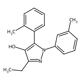 CCc1nn(-c2cccc(C)c2)c(-c2ccccc2C)c1O